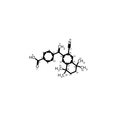 C=C(c1ccc(C(=O)O)cc1)c1cc2c(cc1C#N)C(C)(C)CCC2(C)C